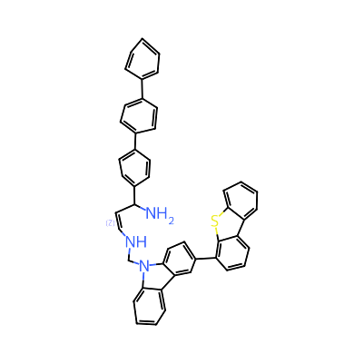 NC(/C=C\NCn1c2ccccc2c2cc(-c3cccc4c3sc3ccccc34)ccc21)c1ccc(-c2ccc(-c3ccccc3)cc2)cc1